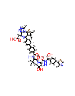 Cc1ncsc1-c1ccc([C@H](CO)NC(=O)[C@@H]2C[C@@H](O)CN2C(=O)[C@@H](NC(=O)c2ccc(-c3ccc(C4=N[C@@H](CC(=O)O)c5nnc(C)n5-c5sc(C)c(C)c54)cc3)cc2)C(C)(C)C)cc1